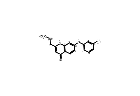 O=C(O)NCc1cc(=O)c2ccc(Oc3cccc(C(F)(F)F)c3)cc2o1